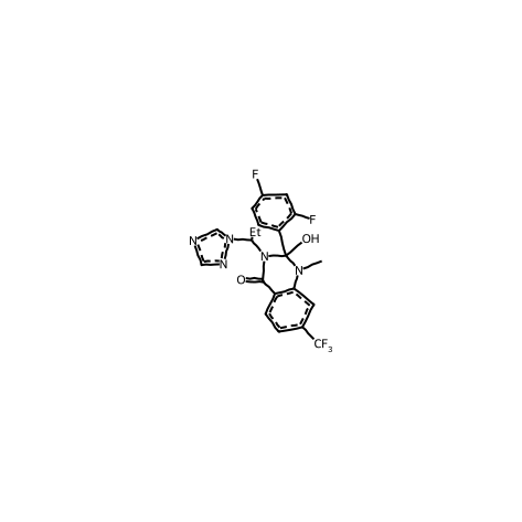 CCC(N1C(=O)c2ccc(C(F)(F)F)cc2N(C)C1(O)c1ccc(F)cc1F)n1cncn1